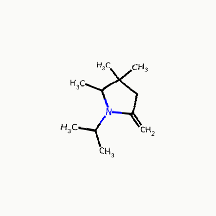 C=C1CC(C)(C)C(C)N1C(C)C